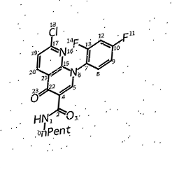 CCCCCNC(=O)c1cn(-c2ccc(F)cc2F)c2nc(Cl)ccc2c1=O